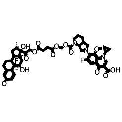 COc1c(N2CC3CCCN(C(=O)OCOC(=O)CCC(=O)OCC(=O)[C@@]4(O)[C@@H](C)CC5C6CCC7=CC(=O)C=C[C@]7(C)[C@@]6(F)[C@@H](O)C[C@@]54C)C3C2)c(F)cc2c(=O)c(C(=O)O)cn(C3CC3)c12